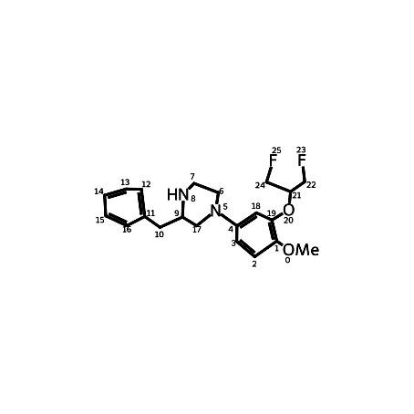 COc1ccc(N2CCNC(Cc3ccccc3)C2)cc1OC(CF)CF